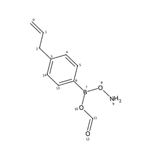 C=CCc1ccc(B(ON)OC=O)cc1